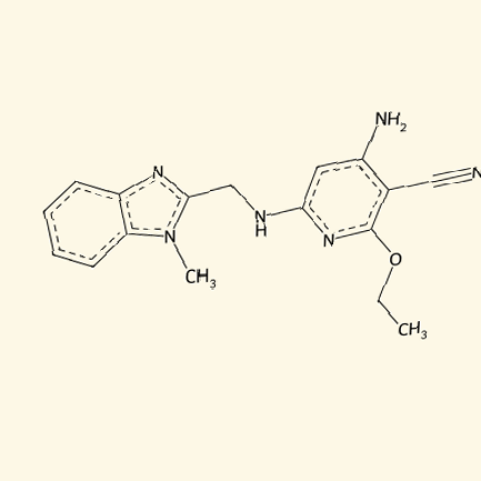 CCOc1nc(NCc2nc3ccccc3n2C)cc(N)c1C#N